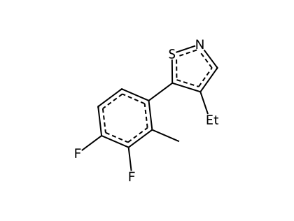 CCc1cnsc1-c1ccc(F)c(F)c1C